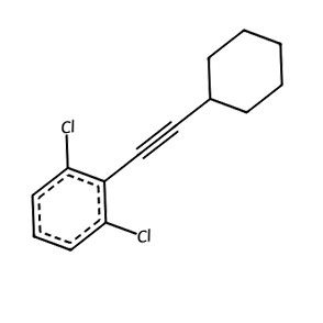 Clc1cccc(Cl)c1C#CC1CCCCC1